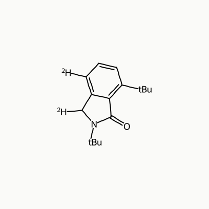 [2H]c1ccc(C(C)(C)C)c2c1C([2H])N(C(C)(C)C)C2=O